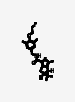 Cc1cc(CNC(=O)c2sc(C)c3c2C[C@@H]2[C@H]3C2(C)C)cc(C)c1OCCF